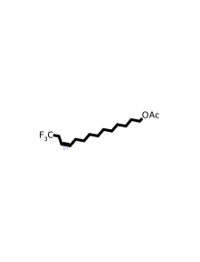 CC(=O)OCCCCCCCCCC/C=C\CC(F)(F)F